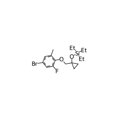 CC[Si](CC)(CC)OC1(COc2c(C)cc(Br)cc2F)CC1